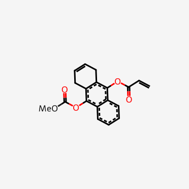 C=CC(=O)Oc1c2c(c(OC(=O)OC)c3ccccc13)CC=CC2